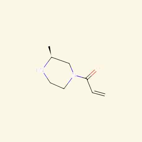 C=CC(=O)N1CCN[C@@H](C)C1